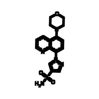 NS(=O)(=O)c1cnn(-c2ccc(N3CCOCC3)c3cccnc23)c1